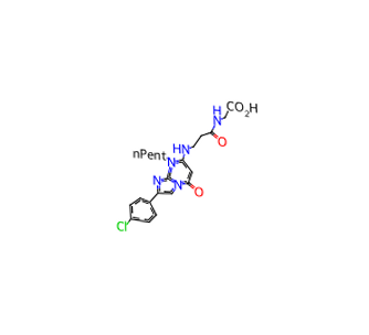 CCCCCn1c(NCCC(=O)NCC(=O)O)cc(=O)n2cc(-c3ccc(Cl)cc3)nc12